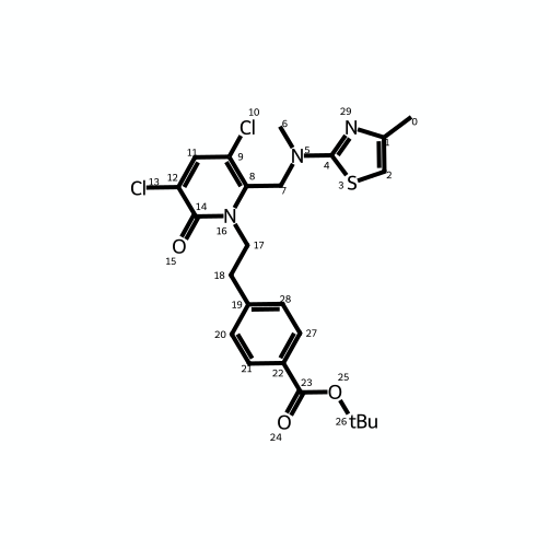 Cc1csc(N(C)Cc2c(Cl)cc(Cl)c(=O)n2CCc2ccc(C(=O)OC(C)(C)C)cc2)n1